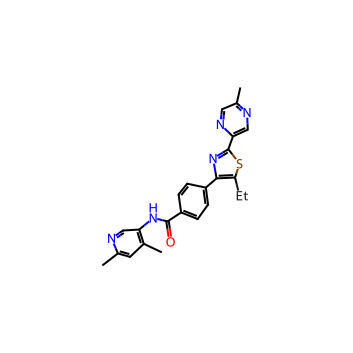 CCc1sc(-c2cnc(C)cn2)nc1-c1ccc(C(=O)Nc2cnc(C)cc2C)cc1